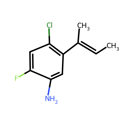 C/C=C(\C)c1cc(N)c(F)cc1Cl